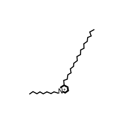 CCCCCCCCCCCCCCCCCCc1ccc[n+](CCCCCCCCC)c1